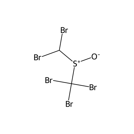 [O-][S+](C(Br)Br)C(Br)(Br)Br